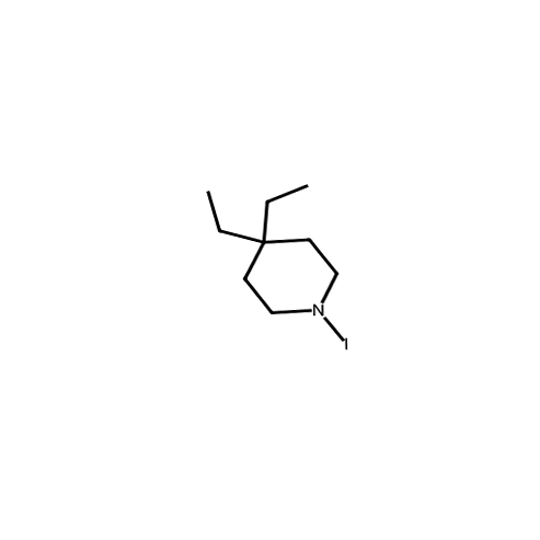 CCC1(CC)CCN(I)CC1